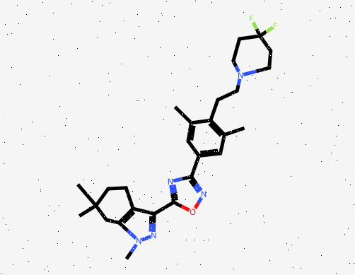 Cc1cc(-c2noc(-c3nn(C)c4c3CCC(C)(C)C4)n2)cc(C)c1CCN1CCC(F)(F)CC1